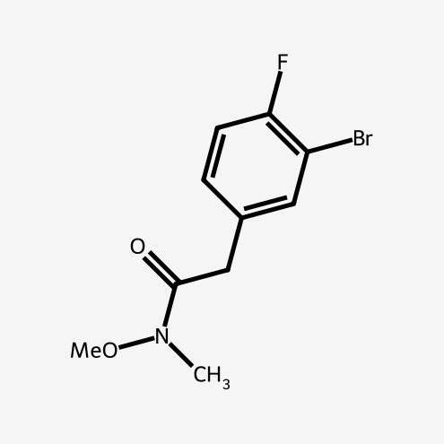 CON(C)C(=O)Cc1ccc(F)c(Br)c1